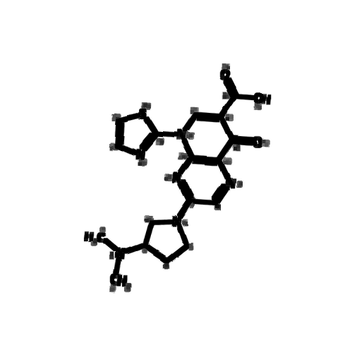 CN(C)C1CCN(c2cnc3c(=O)c(C(=O)O)cn(-c4nccs4)c3n2)C1